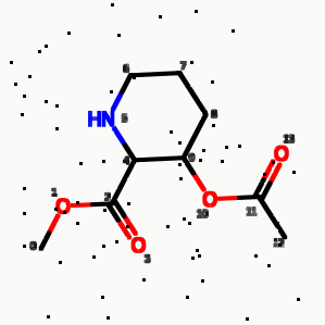 COC(=O)C1NCCCC1OC(C)=O